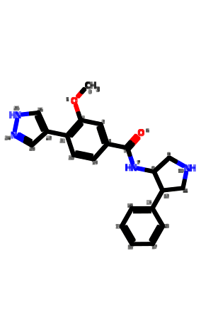 COc1cc(C(=O)NC2CNCC2c2ccccc2)ccc1-c1cn[nH]c1